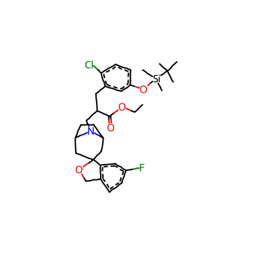 CCOC(=O)C(Cc1cc(O[Si](C)(C)C(C)(C)C)ccc1Cl)CN1C2CCC1CC1(C2)OCc2ccc(F)cc21